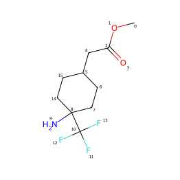 COC(=O)CC1CCC(N)(C(F)(F)F)CC1